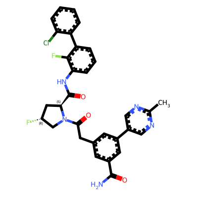 Cc1ncc(-c2cc(CC(=O)N3C[C@H](F)C[C@H]3C(=O)Nc3cccc(-c4ccccc4Cl)c3F)cc(C(N)=O)c2)cn1